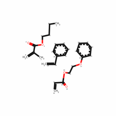 C=C(C)C(=O)OCCCC.C=CC(=O)OCCOc1ccccc1.C=Cc1ccccc1